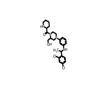 CC(Nc1cccc(N2CCN(C(=O)C3CCCCN3)C(CO)C2)c1)c1ccc(Cl)cc1Cl